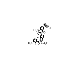 Cc1ccc(Cl)c(C(=O)N[C@@H](Cc2ccc(-n3c(=O)c4cc(N(C)C)ccc4n(C)c3=O)cc2)C(=O)O)c1F